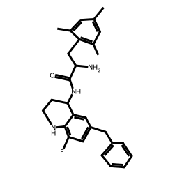 Cc1cc(C)c(CC(N)C(=O)NC2CCNc3c(F)cc(Cc4ccccc4)cc32)c(C)c1